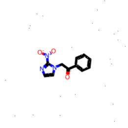 O=C(Cn1ccnc1[N+](=O)[O-])c1ccccc1